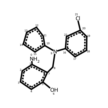 Nc1cccc(O)c1CN(c1ccccc1)c1cccc(Cl)c1